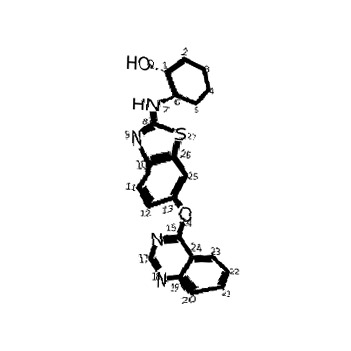 O[C@@H]1CCCC[C@H]1Nc1nc2ccc(Oc3ncnc4ccccc34)cc2s1